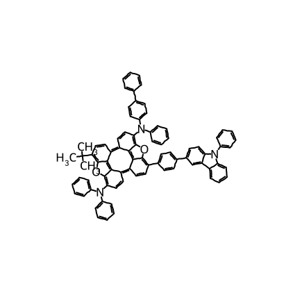 CC(C)(C)c1ccc2c3ccc(N(c4ccccc4)c4ccc(-c5ccccc5)cc4)c4oc5c(-c6ccc(-c7ccc8c(c7)c7ccccc7n8-c7ccccc7)cc6)ccc(c6ccc(N(c7ccccc7)c7ccccc7)c7oc1c2c76)c5c43